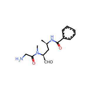 C[C@H](C[C@@H](C=O)N(C)C(=O)CN)NC(=O)c1ccccc1